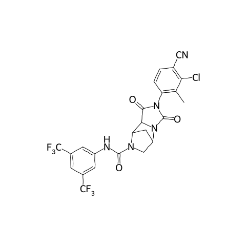 Cc1c(N2C(=O)C3C4CC(CN4C(=O)Nc4cc(C(F)(F)F)cc(C(F)(F)F)c4)N3C2=O)ccc(C#N)c1Cl